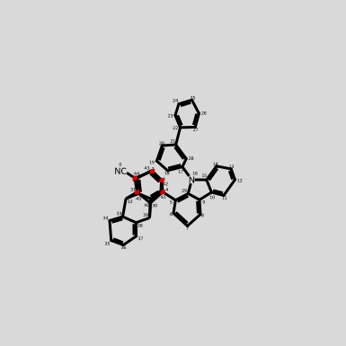 N#Cc1ccc(-c2cccc3c4ccccc4n(-c4cccc(-c5ccccc5)c4)c23)c2c1C1c3ccccc3C2c2ccccc21